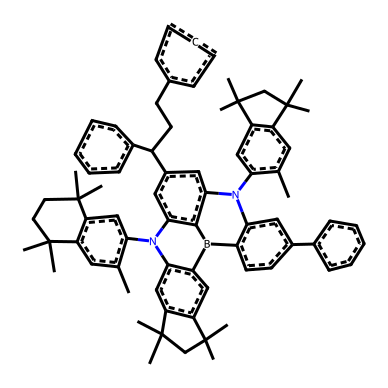 Cc1cc2c(cc1N1c3cc4c(cc3B3c5ccc(-c6ccccc6)cc5N(c5cc6c(cc5C)C(C)(C)CC6(C)C)c5cc(C(CCc6ccccc6)c6ccccc6)cc1c53)C(C)(C)CC4(C)C)C(C)(C)CCC2(C)C